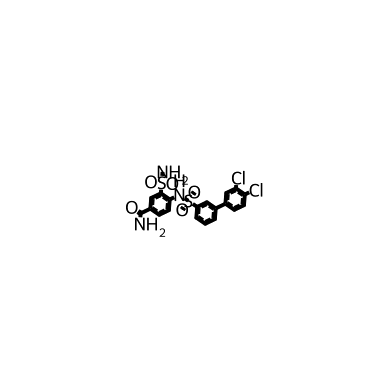 NC(=O)c1ccc(NS(=O)(=O)c2cccc(-c3ccc(Cl)c(Cl)c3)c2)c(S(N)(=O)=O)c1